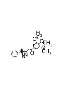 COc1cc(C(=O)Cc2nnn(-c3ccccc3)n2)cc(OC)c1OC